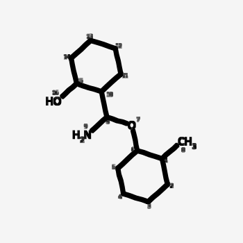 CC1CCCCC1OC(N)C1CCCCC1O